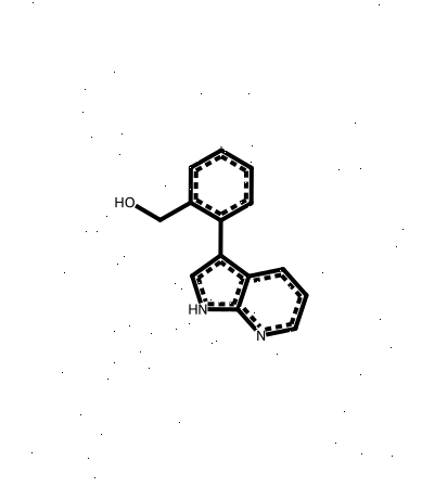 OCc1c[c]ccc1-c1c[nH]c2ncccc12